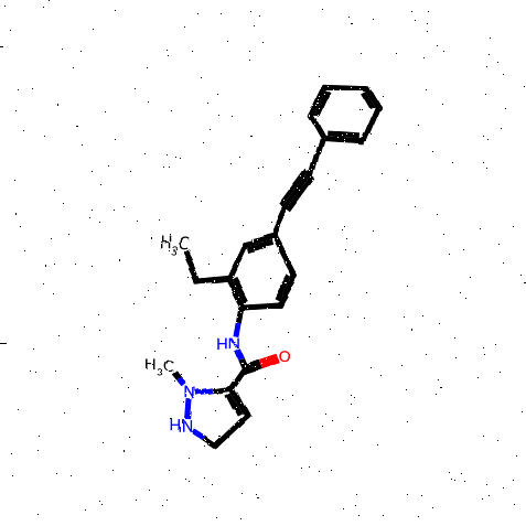 CCc1cc(C#Cc2ccccc2)ccc1NC(=O)C1=CCNN1C